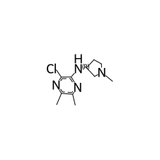 Cc1nc(Cl)c(N[C@@H]2CCN(C)C2)nc1C